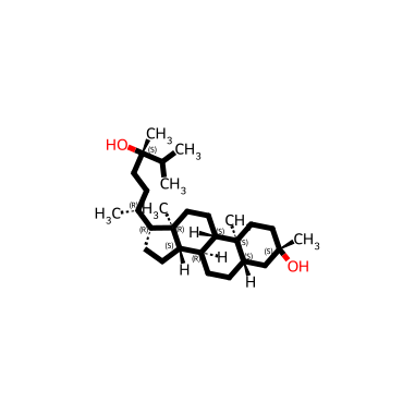 CC(C)[C@@](C)(O)CC[C@@H](C)[C@H]1CC[C@H]2[C@@H]3CC[C@H]4C[C@@](C)(O)CC[C@]4(C)[C@H]3CC[C@]12C